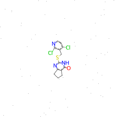 O=c1[nH]c(SCc2c(Cl)ccnc2Cl)nc2c1CCC2